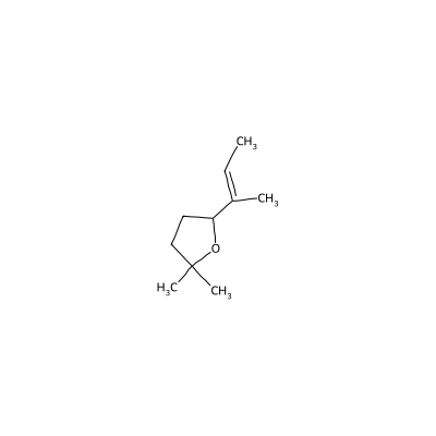 CC=C(C)C1CCC(C)(C)O1